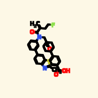 C=C(CCF)C(=O)N(CC12CCC(c3ccc(C(=O)O)cc3)(CC1)OC2)c1cccc(-c2ccc3nc(C)sc3c2)c1